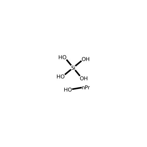 CCCO.O[Si](O)(O)O